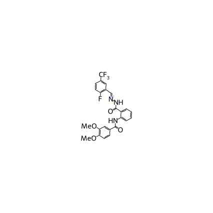 COc1ccc(C(=O)Nc2ccccc2C(=O)N/N=C/c2cc(C(F)(F)F)ccc2F)cc1OC